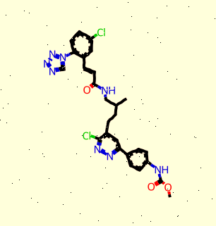 COC(=O)Nc1ccc(-c2cc(CCC(C)CNC(=O)C=Cc3cc(Cl)ccc3-n3cnnn3)c(Cl)nn2)cc1